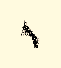 N#Cc1ccc(N2CCN(Cc3ccc(C(O)c4ccc5c6c(cccc46)CN5)cc3)CC2)c(F)c1